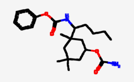 CCCCC(NC(=O)Oc1ccccc1)C1(C)CC(OC(N)=O)CC(C)(C)C1